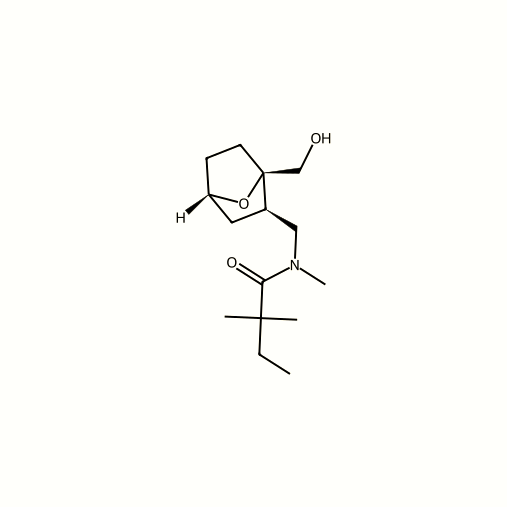 CCC(C)(C)C(=O)N(C)C[C@H]1C[C@@H]2CC[C@@]1(CO)O2